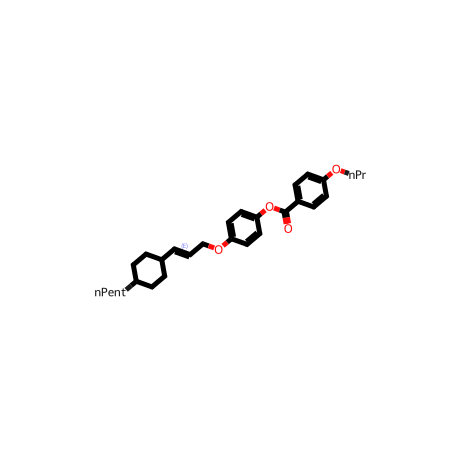 CCCCCC1CCC(/C=C/COc2ccc(OC(=O)c3ccc(OCCC)cc3)cc2)CC1